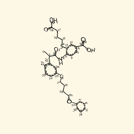 CC(C(=O)Nc1ccc(C(=O)O)cc1SCCCC(=O)O)c1cccc(OCCCCOc2ccccc2)c1